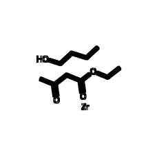 CCCCO.CCOC(=O)CC(C)=O.[Zr]